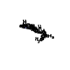 COc1ccc(-c2ncccc2CNCC2CCN(c3nccc(/C=C4/SC(=O)NC4=O)n3)CC2)c(OC)c1